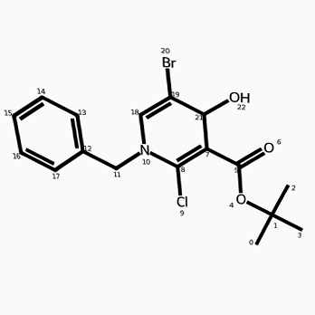 CC(C)(C)OC(=O)C1=C(Cl)N(Cc2ccccc2)C=C(Br)C1O